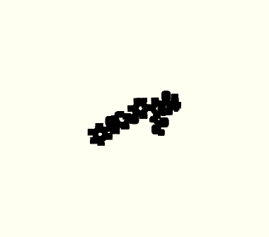 COC(=O)C[C@@H]1CN(C(=O)C(F)(F)F)C[C@H]1c1cccc(OCCc2nc(-c3ccccc3)oc2C)c1